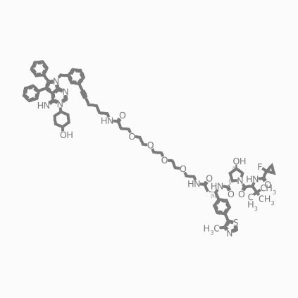 Cc1ncsc1-c1ccc([C@H](CC(=O)NCCOCCOCCOCCOCCC(=O)NCCCCC#Cc2cccc(Cn3c(-c4ccccc4)c(-c4ccccc4)c4c(=N)n(C5CCC(O)CC5)cnc43)c2)NC(=O)[C@@H]2C[C@@H](O)CN2C(=O)C(NC(=O)C2(F)CC2)C(C)(C)C)cc1